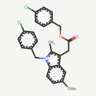 COc1ccc2c(c1)c(CC(=O)OCc1ccc(Cl)cc1)c(C)n2Cc1ccc(Cl)cc1